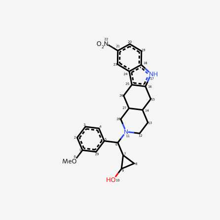 COc1cccc(C(C2CC2O)N2CCC3Cc4[nH]c5ccc([N+](=O)[O-])cc5c4CC3C2)c1